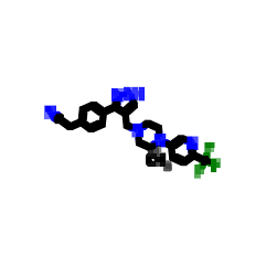 C[C@@H]1CN(Cc2c[nH]nc2-c2ccc(CC#N)cc2)CCN1c1ccc(C(F)(F)F)nc1